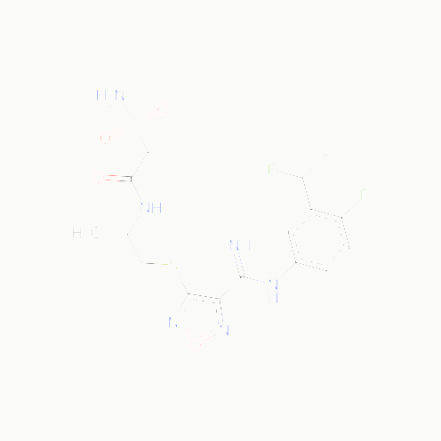 C[C@@H](CSc1nonc1C(=N)Nc1ccc(F)c(C(F)F)c1)NC(=O)CS(N)(=O)=O